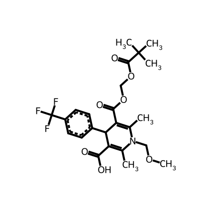 COCN1C(C)=C(C(=O)O)C(c2ccc(C(F)(F)F)cc2)C(C(=O)OCOC(=O)C(C)(C)C)=C1C